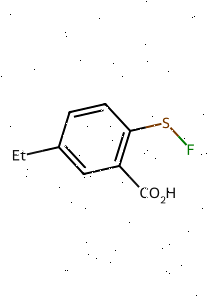 CCc1ccc(SF)c(C(=O)O)c1